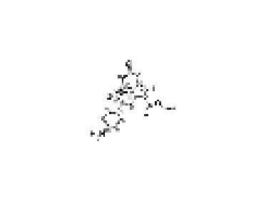 CCOC(=O)c1[nH]c2cc(Cl)cc(Cl)c2c1C=C(C(=O)O)c1ccc(N)cc1